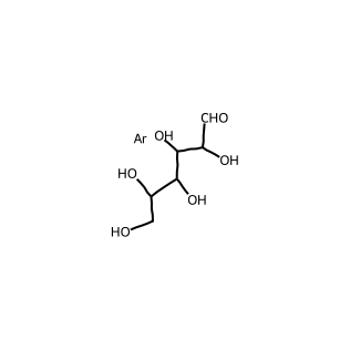 O=CC(O)C(O)C(O)C(O)CO.[Ar]